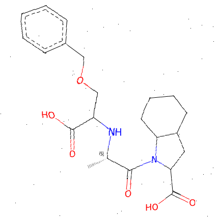 C[C@H](NC(COCc1ccccc1)C(=O)O)C(=O)N1C(C(=O)O)CC2CCCCC21